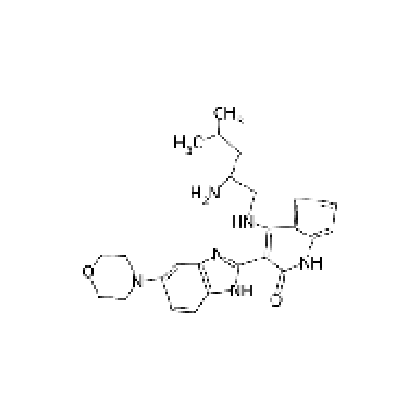 CC(C)CC(N)CNc1c(-c2nc3cc(N4CCOCC4)ccc3[nH]2)c(=O)[nH]c2ccccc12